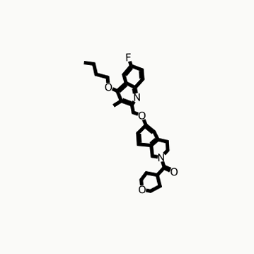 CCCCOc1c(C)c(COc2ccc3c(c2)CCN(C(=O)C2CCOCC2)C3)nc2ccc(F)cc12